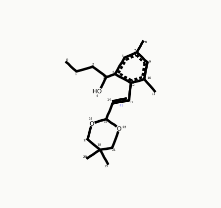 CCCC(O)c1cc(C)cc(C)c1/C=C/C1OCC(C)(C)CO1